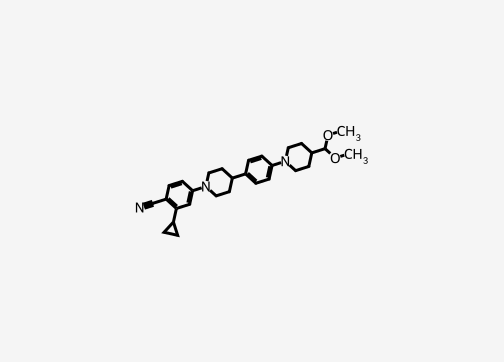 COC(OC)C1CCN(c2ccc(C3CCN(c4ccc(C#N)c(C5CC5)c4)CC3)cc2)CC1